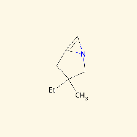 CCC1(C)CC2=CN2C1